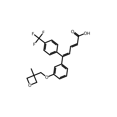 CC1(COc2cccc(C(=CC=CC(=O)O)c3ccc(C(F)(F)F)cc3)c2)COC1